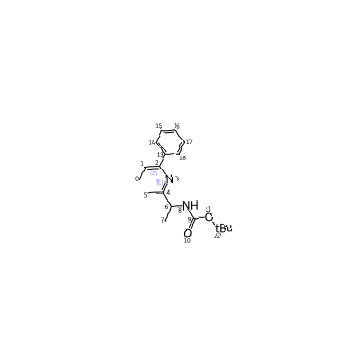 C/C=C(\N=C(/C)C(C)NC(=O)OC(C)(C)C)c1ccccc1